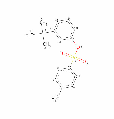 Cc1ccc(S(=O)(=O)Oc2cccc(C(C)(C)C)c2)cc1